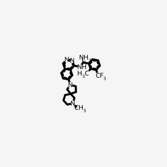 Cc1c([C@@H](N)Nc2nncc3ccc(N4CCC5(CCCN(C)C5)C4)cc23)cccc1C(F)(F)F